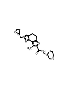 Cc1c(C(=O)NC[C@@H]2COCCO2)oc2c1-c1nn(C[C@@H]3CCO3)cc1CC2